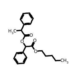 CCCCCOC(=O)C(OC(=O)C(C)c1ccccc1)c1ccccc1